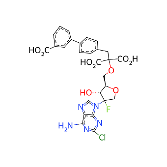 Nc1nc(Cl)nc2c1ncn2C1(F)CO[C@H](COC(Cc2ccc(-c3cccc(C(=O)O)c3)cc2)(C(=O)O)C(=O)O)[C@H]1O